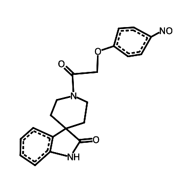 O=Nc1ccc(OCC(=O)N2CCC3(CC2)C(=O)Nc2ccccc23)cc1